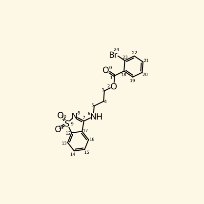 O=C(OCCCNC1=NS(=O)(=O)c2ccccc21)c1ccccc1Br